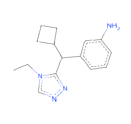 CCn1cnnc1C(c1cccc(N)c1)C1CCC1